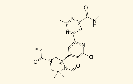 C=CC(=O)N1C[C@@H](c2cc(Cl)nc(-c3cc(C(=O)NC)nc(C)n3)c2)N(C(C)=O)C(C)(C)C1